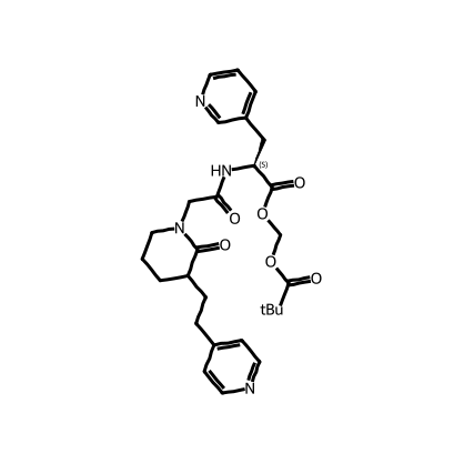 CC(C)(C)C(=O)OCOC(=O)[C@H](Cc1cccnc1)NC(=O)CN1CCCC(CCc2ccncc2)C1=O